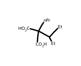 CCCC(C(=O)O)(C(=O)O)C(CC)CC